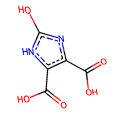 O=C(O)c1nc(O)[nH]c1C(=O)O